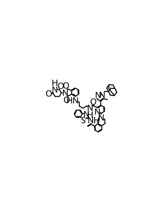 C=C(Nc1nc2ccccc2s1)c1cccc2c1CN(c1ccc(-c3cnn(CC45CC6CC(CC(C6)C4)C5)c3C)c(C(=O)NCCCCNc3cccc4c3C(=O)N(C3CCC(=O)NC3=O)C4=O)n1)CC2